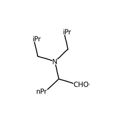 CCCC([C]=O)N(CC(C)C)CC(C)C